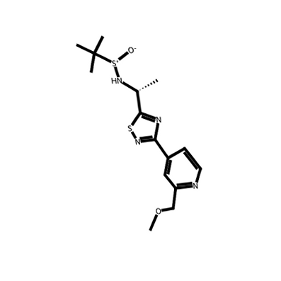 COCc1cc(-c2nsc([C@@H](C)N[S+]([O-])C(C)(C)C)n2)ccn1